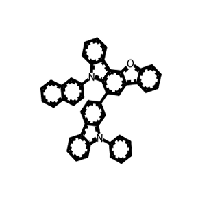 c1ccc(-n2c3ccccc3c3ccc(-c4cc5c6ccccc6oc5c5c6ccccc6n(-c6ccc7ccccc7c6)c45)cc32)cc1